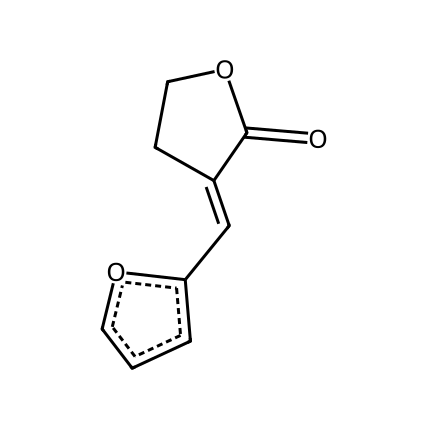 O=C1OCCC1=Cc1ccco1